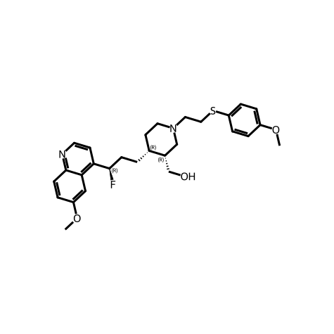 COc1ccc(SCCN2CC[C@@H](CC[C@@H](F)c3ccnc4ccc(OC)cc34)[C@@H](CO)C2)cc1